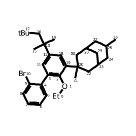 CCOc1c(-c2ccccc2Br)cc(C(C)(C)CC(C)(C)C)cc1C1(C)CC2CC(C)CC(C2)C1